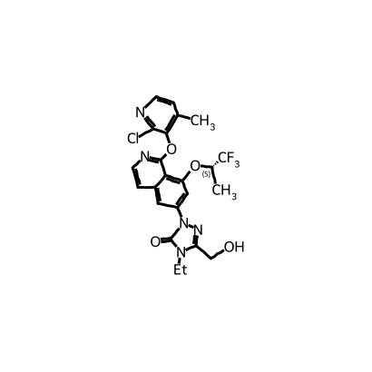 CCn1c(CO)nn(-c2cc(O[C@@H](C)C(F)(F)F)c3c(Oc4c(C)ccnc4Cl)nccc3c2)c1=O